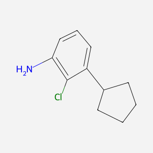 Nc1cccc(C2CCCC2)c1Cl